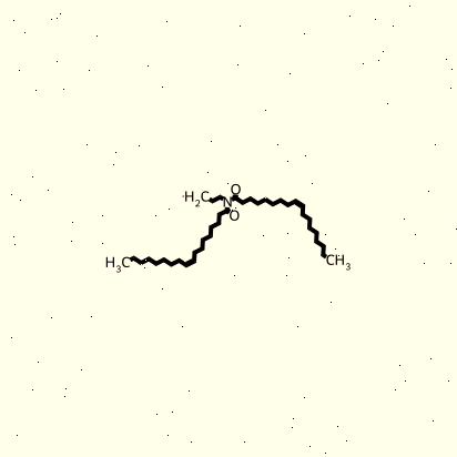 [CH2]CCN(C(=O)CCCCCCC/C=C\CCCCCCCC)C(=O)CCCCCCC/C=C\CCCCCCCC